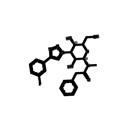 CN(C(=O)Cc1ccccc1)[C@@H]1OC(CO)[C@H](O)C(n2cc(-c3cccc(F)c3)nn2)C1O